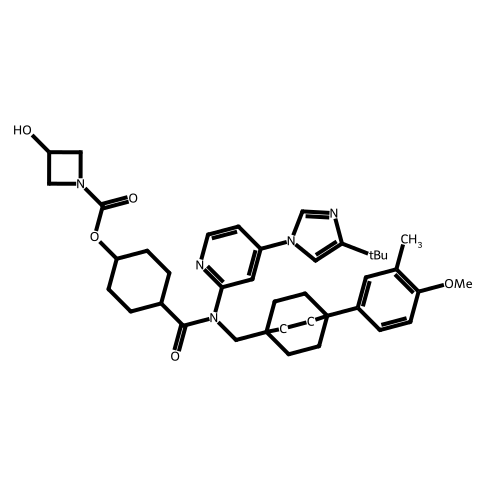 COc1ccc(C23CCC(CN(C(=O)C4CCC(OC(=O)N5CC(O)C5)CC4)c4cc(-n5cnc(C(C)(C)C)c5)ccn4)(CC2)CC3)cc1C